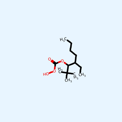 CCCCC(CC)C(OC(=O)OO)C(C)(C)C